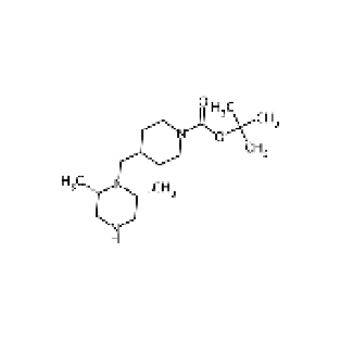 C[C@@H]1CNC[C@H](C)N1CC1CCN(C(=O)OC(C)(C)C)CC1